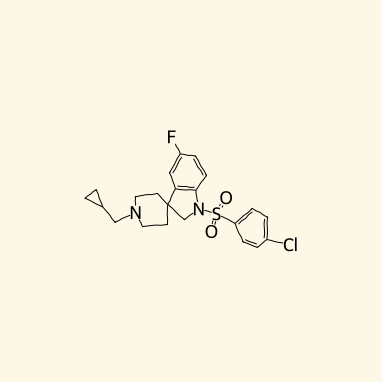 O=S(=O)(c1ccc(Cl)cc1)N1CC2(CCN(CC3CC3)CC2)c2cc(F)ccc21